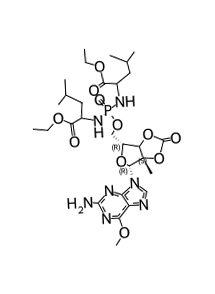 CCOC(=O)C(CC(C)C)NP(=O)(NC(CC(C)C)C(=O)OCC)OC[C@H]1O[C@@H](n2cnc3c(OC)nc(N)nc32)[C@@]2(C)OC(=O)OC12